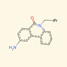 CC(C)Cn1c(=O)c2ccc(N)cc2c2ccccc21